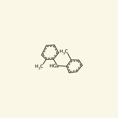 Cc1cccc[c]1[GaH][c]1ccccc1C